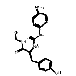 N#CCNC(=O)C(Cc1ccc(O)cc1)NC(=O)Nc1ccc([N+](=O)[O-])cc1